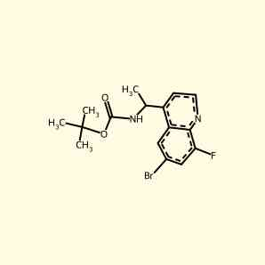 CC(NC(=O)OC(C)(C)C)c1ccnc2c(F)cc(Br)cc12